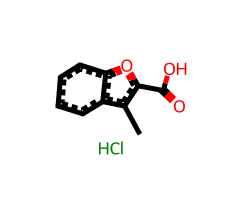 Cc1c(C(=O)O)oc2ccccc12.Cl